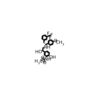 COc1ccc([C@@H](Cc2cccc(C(F)(F)F)c2)NC[C@H](O)c2ccc(O)c(NS(C)(=O)=O)c2)cc1